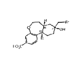 CC[C@]12CC[C@@](O)(CC(C)C)C[C@H]1CCOc1cc(C(=O)O)ccc12